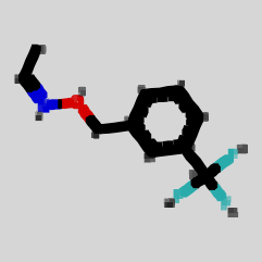 C/[C]=N\OCc1cccc(C(F)(F)F)c1